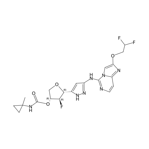 CC1(NC(=O)O[C@@H]2CO[C@H](c3cc(Nc4nccc5nc(OCC(F)F)cn45)n[nH]3)[C@H]2F)CC1